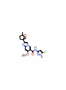 CC(C)Oc1cc2nc(C34CCC(C)(C3)OC4)cn2cc1C(=O)Nc1cc(F)n(C)n1